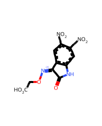 O=C(O)CO/N=C1\C(=O)Nc2cc([N+](=O)[O-])c([N+](=O)[O-])cc21